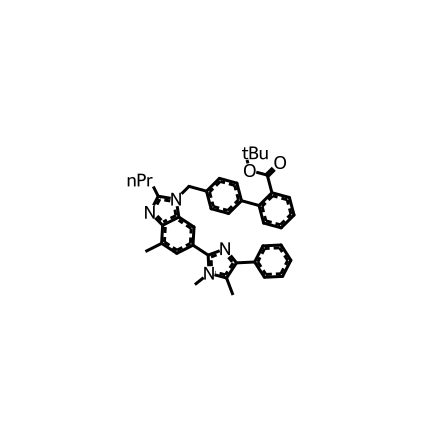 CCCc1nc2c(C)cc(-c3nc(-c4ccccc4)c(C)n3C)cc2n1Cc1ccc(-c2ccccc2C(=O)OC(C)(C)C)cc1